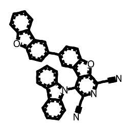 N#Cc1nc(C#N)c2oc3ccc(-c4ccc5oc6ccccc6c5c4)cc3c2c1-n1c2ccccc2c2ccccc21